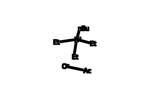 CC(=O)[O-].CCCC[N+](CC)(CC)CC